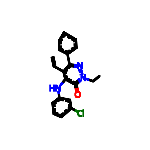 C=Cc1c(-c2ccccc2)nn(CC)c(=O)c1Nc1cccc(Cl)c1